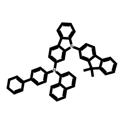 CC1(C)c2ccccc2-c2ccc(-n3c4ccccc4c4ccc(N(c5ccc(C6=CCCC=C6)cc5)c5cccc6ccccc56)cc43)cc21